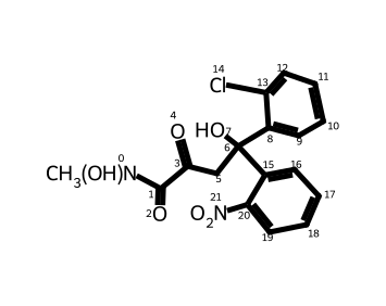 CN(O)C(=O)C(=O)CC(O)(c1ccccc1Cl)c1ccccc1[N+](=O)[O-]